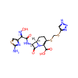 Nc1nc(/C(=N/O)C(=O)N[C@@H]2C(=O)N3C(C(=O)O)=C(SCSc4c[nH]nn4)CC[C@H]23)cs1